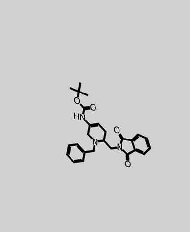 CC(C)(C)OC(=O)NC1=CCC(CN2C(=O)c3ccccc3C2=O)N(Cc2ccccc2)C1